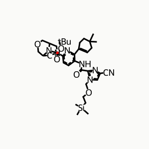 CC1(C)CC=C(c2nc(N3CC4COCC(C3)N4C(=O)OC(C)(C)C)ccc2NC(=O)c2nc(C#N)cn2COCC[Si](C)(C)C)CC1